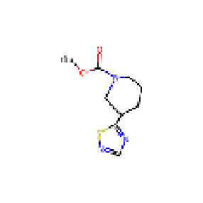 CC(C)(C)OC(=O)N1CCCC(c2ncns2)C1